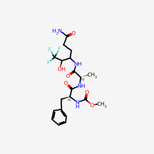 COC(=O)N[C@@H](Cc1ccccc1)C(=O)N[C@@H](C)C(=O)NC(CCC(N)=O)C(O)C(F)(F)F